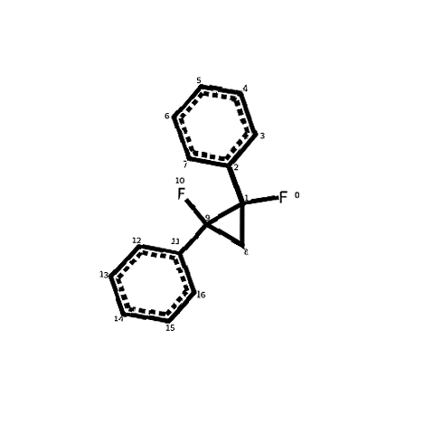 FC1(c2ccccc2)CC1(F)c1ccccc1